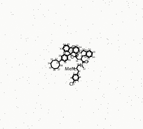 CN[C@H](Cc1ccc(Cl)cc1)CN(C)C(=O)[C@@H](CC(=O)OC(c1ccccc1)(c1ccc(C2CCCCCCC2)cc1)c1ccccc1Cl)[C@@H]1CCc2ccccc21